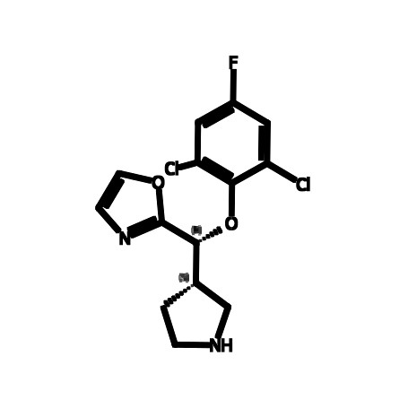 Fc1cc(Cl)c(O[C@@H](c2ncco2)[C@H]2CCNC2)c(Cl)c1